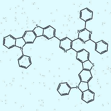 c1ccc(-c2nc(-c3ccccc3)nc(-c3cc(-c4ccc5sc6cc7c8ccccc8n(-c8ccccc8)c7cc6c5c4)cnc3-c3ccc4sc5cc6c7ccccc7n(-c7ccccc7)c6cc5c4c3)n2)cc1